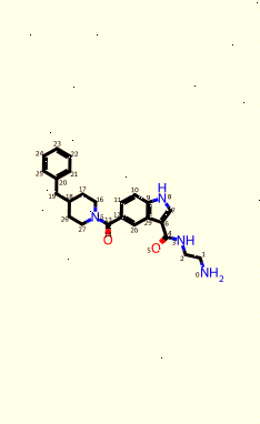 NCCNC(=O)c1c[nH]c2ccc(C(=O)N3CCC(Cc4ccccc4)CC3)cc12